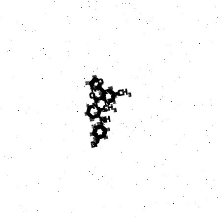 Cc1cnc(C(=O)N2CCC[C@@H](Nc3ccc(Br)cc3)[C@@H]2C)c(-c2ncco2)c1